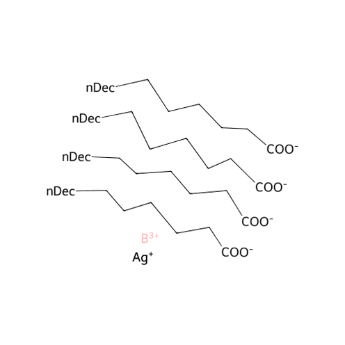 CCCCCCCCCCCCCCCC(=O)[O-].CCCCCCCCCCCCCCCC(=O)[O-].CCCCCCCCCCCCCCCC(=O)[O-].CCCCCCCCCCCCCCCC(=O)[O-].[Ag+].[B+3]